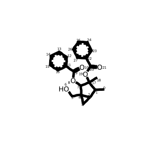 CC1C2CC2(CO)C(OC(=O)c2ccccc2)C1(C)OC(=O)c1ccccc1